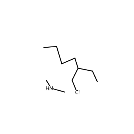 CCCCC(CC)CCl.CNC